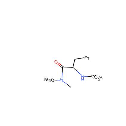 CON(C)C(=O)C(CC(C)C)NC(=O)O